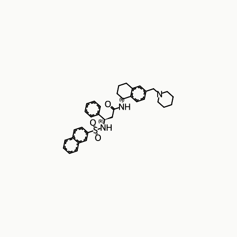 O=C(C[C@@H](NS(=O)(=O)c1ccc2ccccc2c1)c1ccccc1)N[C@@H]1CCCc2cc(CN3CCCCC3)ccc21